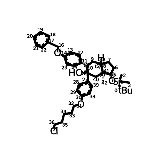 CC(C)(C)[Si](C)(C)O[C@H]1CC[C@H]2C[C@@H](c3ccc(OCc4ccccc4)cc3)[C@](O)(c3ccc(OCCCCCCl)cc3)C[C@@]21C